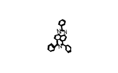 c1ccc(-c2nc3ccc4c(-c5ccccc5)nc(-c5ccccc5)c5ccc(n2)c3c45)cc1